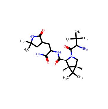 CC1(C)CC(CC(NC(=O)[C@@H]2[C@@H]3[C@H](CN2C(=O)C(N)C(C)(C)C)C3(C)C)C(N)=O)C(=O)N1